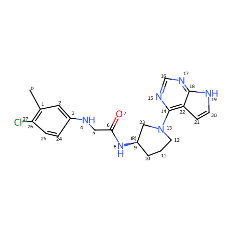 Cc1cc(NCC(=O)N[C@@H]2CCCN(c3ncnc4[nH]ccc34)C2)ccc1Cl